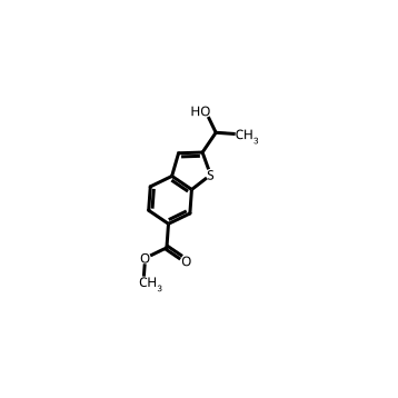 COC(=O)c1ccc2cc(C(C)O)sc2c1